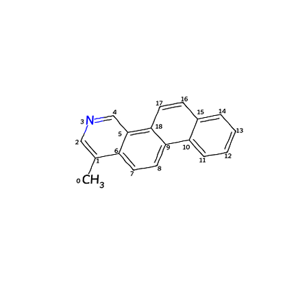 Cc1cncc2c1ccc1c3ccccc3ccc21